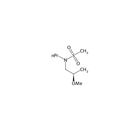 CCCN(C[C@@H](C)OC)S(C)(=O)=O